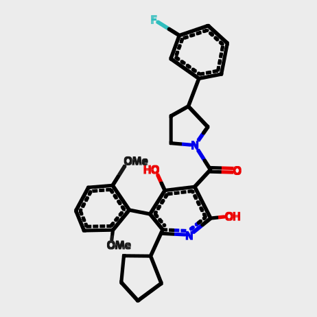 COc1cccc(OC)c1-c1c(C2CCCC2)nc(O)c(C(=O)N2CCC(c3cccc(F)c3)C2)c1O